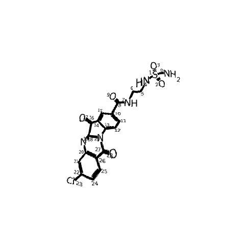 NS(=O)(=O)NCCNC(=O)c1ccc2c(c1)C(=O)c1nc3cc(Cl)ccc3c(=O)n1-2